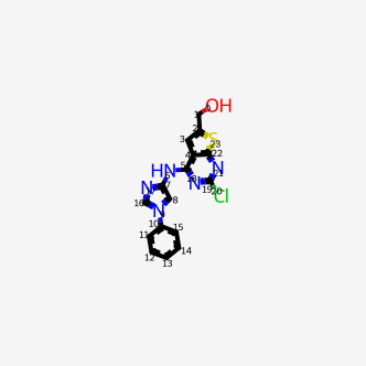 OCc1cc2c(Nc3cn(-c4ccccc4)cn3)nc(Cl)nc2s1